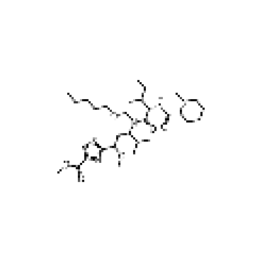 CCCCCOCN(C(=O)[C@@H](NC(=O)[C@H]1CCCCN1C)C(C)CC)[C@H](C[C@@H](OC)c1nc(C(=O)OC)cs1)C(C)C